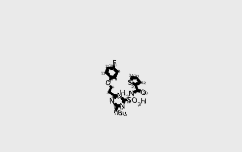 CCCCc1nc(CCOc2ccc(F)cc2)nc(S(=O)(=O)O)n1.NC(=O)c1cccs1